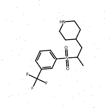 CC(CC1CCNCC1)S(=O)(=O)c1cccc(C(F)(F)F)c1